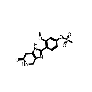 COc1cc(OS(C)(=O)=O)ccc1-c1nc2c([nH]1)CC(=O)NC2